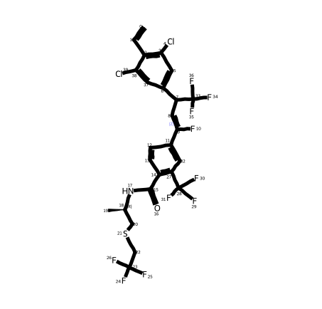 C=Cc1c(Cl)cc(C(/C=C(\F)c2ccc(C(=O)N[C@H](C)CSCC(F)(F)F)c(C(F)(F)F)c2)C(F)(F)F)cc1Cl